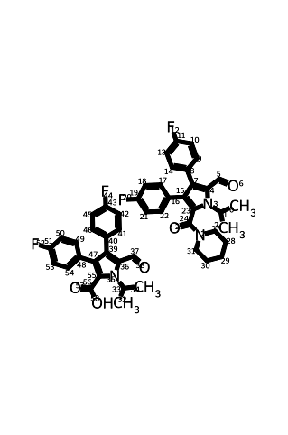 CC(C)n1c(C=O)c(-c2ccc(F)cc2)c(-c2ccc(F)cc2)c1C(=O)N1CCCCC1.CC(C)n1c(C=O)c(-c2ccc(F)cc2)c(-c2ccc(F)cc2)c1C(=O)O